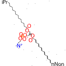 CCCCCCCCCC=CC=CC=CC=CC=CC=CC(=O)O[C@H](COC(=O)CCCCCCCCCCCCC(C)C)COP(=O)([O-])OCC[N+](C)(C)C